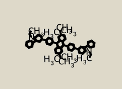 CCn1c2ccccc2c2cc(-c3ccc(-c4c5ccc(C(C)(C)C)cc5c(-c5ccc(-c6ccc7c(c6)c6ccccc6n7CC)cc5)c5ccc(C(C)(C)C)cc45)cc3)ccc21